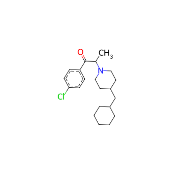 CC(C(=O)c1ccc(Cl)cc1)N1CCC(CC2CCCCC2)CC1